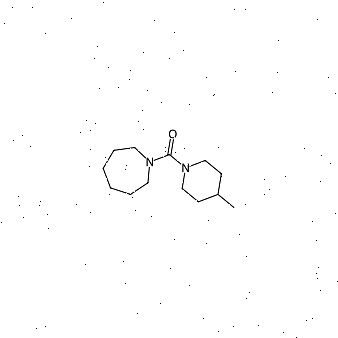 CC1CCN(C(=O)N2CCCCCC2)CC1